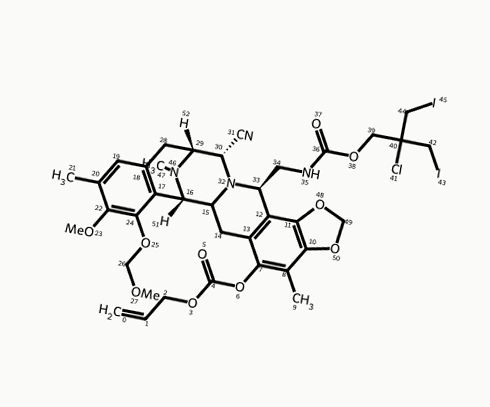 C=CCOC(=O)Oc1c(C)c2c(c3c1CC1[C@@H]4c5c(cc(C)c(OC)c5OCOC)C[C@H]([C@H](C#N)N1[C@H]3CNC(=O)OCC(Cl)(CI)CI)N4C)OCO2